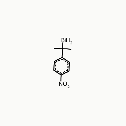 C[C](C)([BiH2])c1ccc([N+](=O)[O-])cc1